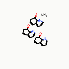 O=C1CC=Cc2cccnc21.O=C1CC=Cc2cccnc21.O=C1CC=Cc2cccnc21.[AlH3]